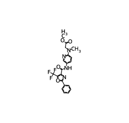 COC(=O)CN(C)c1ccc(NC(=O)c2nc(-c3ccccc3)oc2C(F)(F)F)cn1